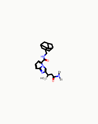 CCN(CC)C(=O)CC(C(=O)O)c1cn2c(C(=O)NCC34CC5CC(CC(C5)C3)C4)cccc2n1